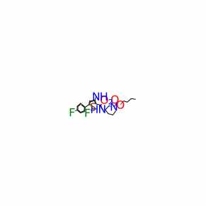 CCCCOC(=O)N1CCC[C@H](NC(=O)c2sc(-c3ccc(F)cc3F)cc2N)C1